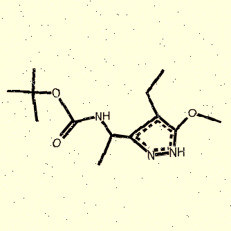 CCc1c(C(C)NC(=O)OC(C)(C)C)n[nH]c1OC